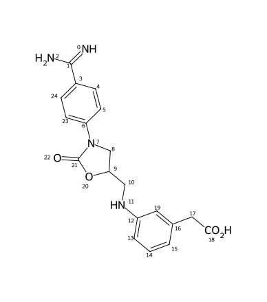 N=C(N)c1ccc(N2CC(CNc3cccc(CC(=O)O)c3)OC2=O)cc1